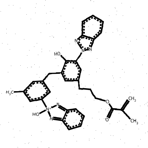 C=C(C)C(=O)OCCCc1cc(Cc2cc(C)cc([N+]3(O)N=c4ccccc4=N3)c2)c(O)c(-n2nc3ccccc3n2)c1